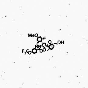 COc1cc(F)c([C@@H]2CN(c3c(C)ccn(CCO)c3=O)C(=O)[C@H]2NC(=O)c2ccc(OC(F)(F)F)cc2)c(F)c1